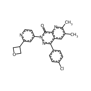 Cc1cc2c(-c3ccc(Cl)cc3)nn(-c3ccnc(C4COC4)c3)c(=O)c2nc1C